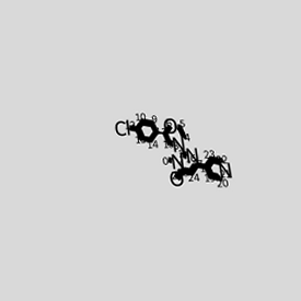 Cn1c(N2CCO[C@H](C3C=CC(Cl)=CC3)C2)nc(-c2ccncc2)cc1=O